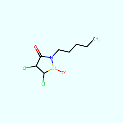 CCCCCN1C(=O)C(Cl)C(Cl)[S+]1[O-]